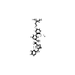 CCOC(O)CCOc1ccc(C)c(-c2ccnc(NC(=O)c3nnc(Cc4ccccc4)[nH]3)c2)c1